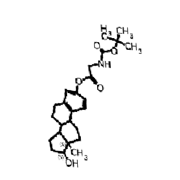 CC(C)(C)OC(=O)NCC(=O)Oc1ccc2c(c1)CCC1C2CC[C@@]2(C)C1CC[C@@H]2O